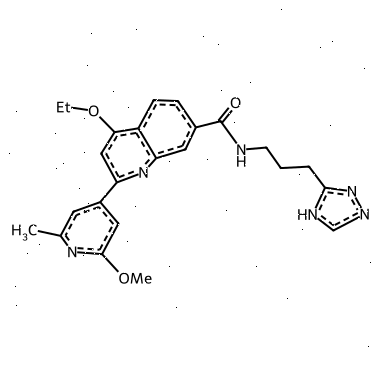 CCOc1cc(-c2cc(C)nc(OC)c2)nc2cc(C(=O)NCCCc3nnc[nH]3)ccc12